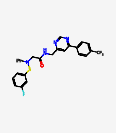 CC(C)N(CC(=O)NCc1cc(-c2ccc(C(F)(F)F)cc2)ncn1)Sc1cccc(F)c1